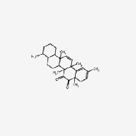 CC1=CCC2(C)C(=O)C(=O)C3(C)C4CCC5C(C)CCCC5C4(C)C=CC3(C)C2=C1